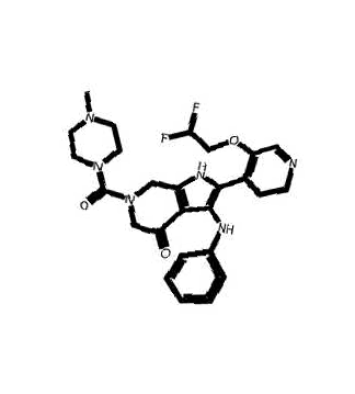 CN1CCN(C(=O)N2CC(=O)c3c([nH]c(C4=C(OCC(F)F)C=NCC4)c3NC3=C=C=CC=C3)C2)CC1